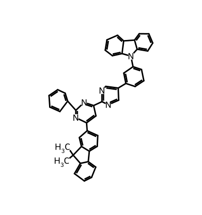 CC1(C)c2ccccc2-c2ccc(-c3cc(-c4ncc(-c5cccc(-n6c7ccccc7c7ccccc76)c5)cn4)nc(-c4ccccc4)n3)cc21